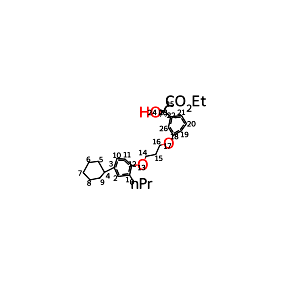 CCCc1cc(C2CCCCC2)ccc1OCCCOc1cccc([C@@H](O)C(=O)OCC)c1